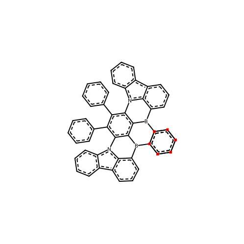 c1ccc(B2c3c4c(c(-c5ccccc5)c(-c5ccccc5)c3-n3c5ccccc5c5cccc2c53)-n2c3ccccc3c3cccc(c32)B4c2ccccc2)cc1